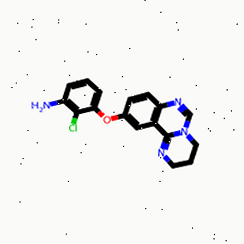 Nc1cccc(Oc2ccc3c(c2)C2=NCCCN2C=N3)c1Cl